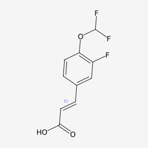 O=C(O)/C=C/c1ccc(OC(F)F)c(F)c1